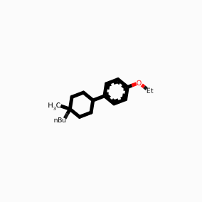 CCCCC1(C)CCC(c2ccc(OCC)cc2)CC1